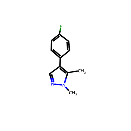 Cc1c(-c2ccc(F)cc2)cnn1C